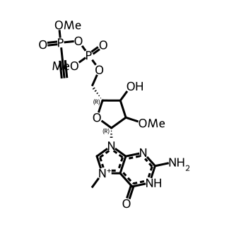 C#CP(=O)(OC)OP(=O)(OC)OC[C@H]1O[C@@H](n2c[n+](C)c3c(=O)[nH]c(N)nc32)C(OC)C1O